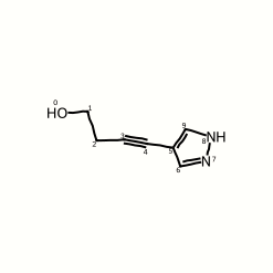 OCCC#Cc1cn[nH]c1